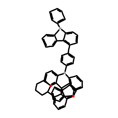 c1ccc(-n2c3ccccc3c3c(-c4ccc(N(c5ccccc5-c5cccc6cccc(C7CCCCC7)c56)c5cccc6oc7ccccc7c56)cc4)cccc32)cc1